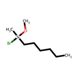 CCCCCC[Si](C)(Br)OC